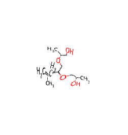 C=CC.CC(O)COC(C)COC(C)CO